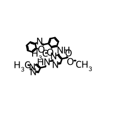 CCOC(=O)c1cnc(NCc2cnn(C)c2)nc1Nc1cccc(-c2nc3ccccc3o2)c1OC